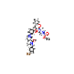 CC(C)(C)OC(=O)N1CCN(C(=O)C(Cc2ccccc2)Oc2cccc(N3CCCC(C(=O)N(Cc4ccc(Br)cc4)C4CC4)C3)c2)CC1